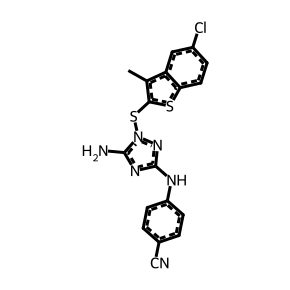 Cc1c(Sn2nc(Nc3ccc(C#N)cc3)nc2N)sc2ccc(Cl)cc12